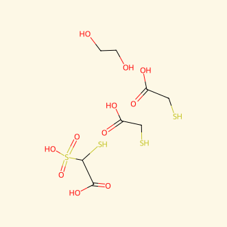 O=C(O)C(S)S(=O)(=O)O.O=C(O)CS.O=C(O)CS.OCCO